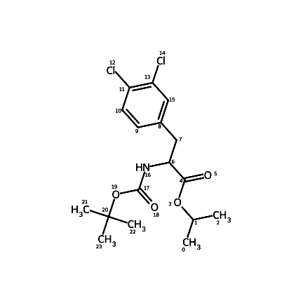 CC(C)OC(=O)C(Cc1ccc(Cl)c(Cl)c1)NC(=O)OC(C)(C)C